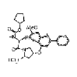 COc1ccc2c(O[C@@H]3C[C@@H](C(=O)O)N(C(=O)[C@@H](NC(=O)OC4CCCC4)C(C)C)C3)cc(-c3ccccc3)nc2c1